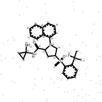 C=S(=O)(c1ccccc1C(C)(F)F)C1CC(C(=O)NC2(N)CC2)N(c2cccc3ccccc23)C1